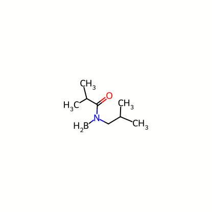 BN(CC(C)C)C(=O)C(C)C